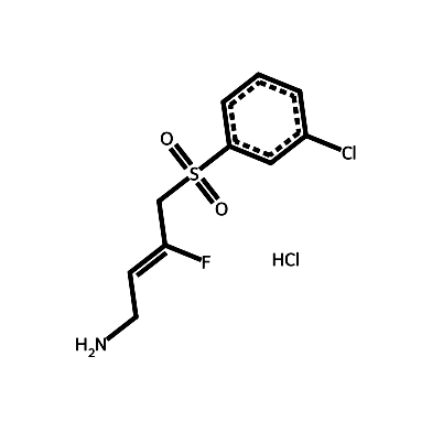 Cl.NC/C=C(\F)CS(=O)(=O)c1cccc(Cl)c1